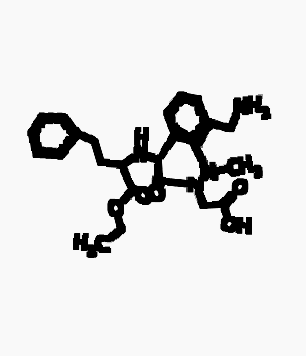 CCOC(=O)C(CCc1ccccc1)N[C@@H](CCCCN)C(=O)N(CC(=O)O)N(C)c1ccccc1